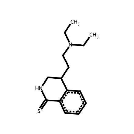 CCN(CC)CCC1CNC(=S)c2ccccc21